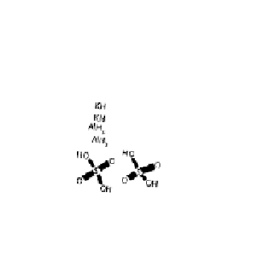 O=S(=O)(O)O.O=S(=O)(O)O.[AlH3].[AlH3].[KH].[KH]